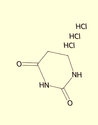 Cl.Cl.Cl.O=C1CCNC(=O)N1